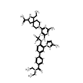 CCC1NC(C(=O)O)CC12CCN(c1cc(O[C@H](c3ccc(-c4ccc(C(=O)N(CC)CC)cc4)cc3-n3ccc(C)n3)C(F)(F)F)nc(N)n1)CC2